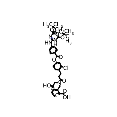 CC(C)(C)OC(=O)/N=C(\NC(=O)OC(C)(C)C)Nc1ccc(C(=O)Oc2ccc(CCC(=O)N(CC(=O)O)Cc3ccccc3C(=O)O)c(Cl)c2)cc1